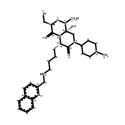 CC(C)C[C@H]1ON(C(=O)O)[C@H]2CN(C3CCN(C)CC3)C(=O)[C@H](CCCCNCc3ccc4ccccc4n3)N2C1=O